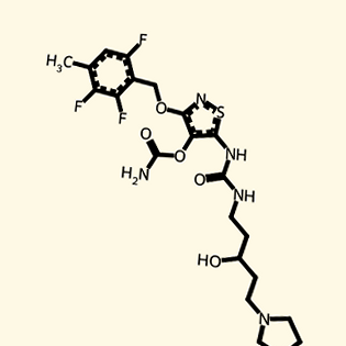 Cc1cc(F)c(COc2nsc(NC(=O)NCCC(O)CCN3CCCC3)c2OC(N)=O)c(F)c1F